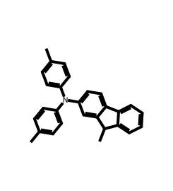 Cc1ccc(N(c2ccc(C)cc2)c2ccc3c(c2)C(C)c2ccccc2-3)cc1